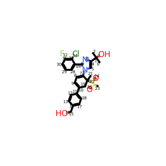 CC(C)(O)c1cn(C2=CC=C(c3ccc(CO)cc3)CC2(C)S(C)(=O)=O)c(-c2cccc(F)c2Cl)n1